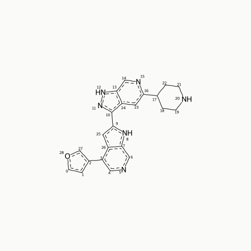 c1cc(-c2cncc3[nH]c(-c4n[nH]c5cnc(C6CCNCC6)cc45)cc23)co1